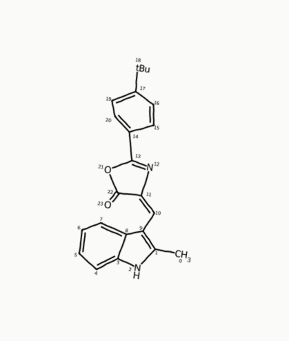 Cc1[nH]c2ccccc2c1/C=C1/N=C(c2ccc(C(C)(C)C)cc2)OC1=O